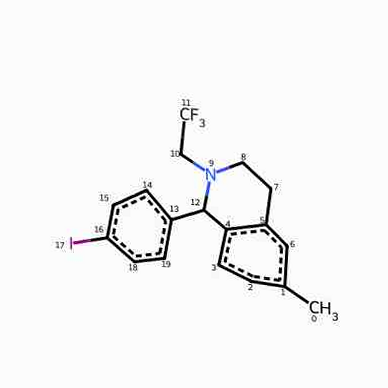 Cc1ccc2c(c1)CCN(CC(F)(F)F)C2c1ccc(I)cc1